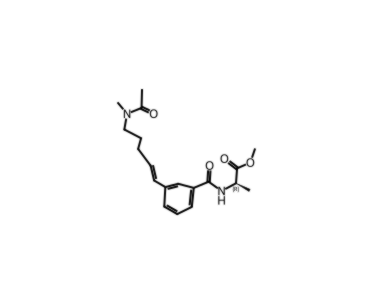 COC(=O)[C@@H](C)NC(=O)c1cccc(C=CCCCN(C)C(C)=O)c1